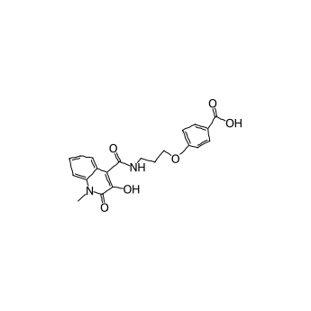 Cn1c(=O)c(O)c(C(=O)NCCCOc2ccc(C(=O)O)cc2)c2ccccc21